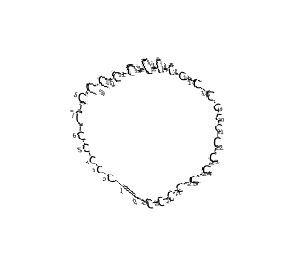 [C]1=C\CCCCCCCCCCCCCCCCCCCCCCCCCCCC/1